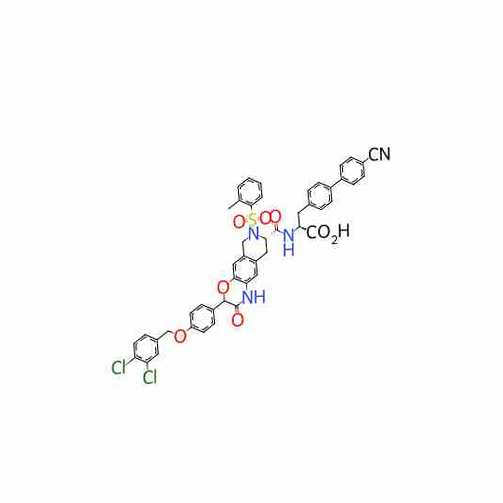 Cc1ccccc1S(=O)(=O)N1Cc2cc3c(cc2C[C@H]1C(=O)N[C@@H](Cc1ccc(-c2ccc(C#N)cc2)cc1)C(=O)O)NC(=O)C(c1ccc(OCc2ccc(Cl)c(Cl)c2)cc1)O3